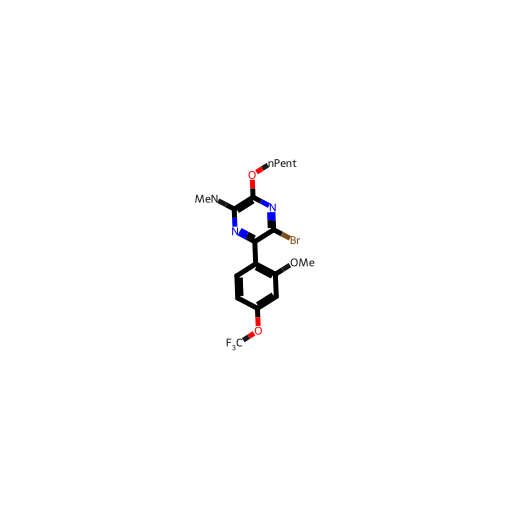 CCCCCOc1nc(Br)c(-c2ccc(OC(F)(F)F)cc2OC)nc1NC